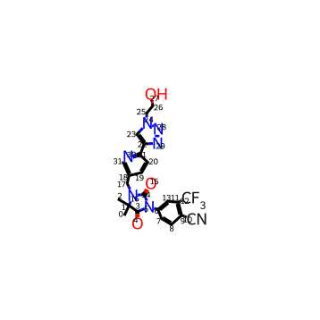 CC1(C)C(=O)N(c2ccc(C#N)c(C(F)(F)F)c2)C(=O)N1Cc1ccc(-c2cn(CCO)nn2)nc1